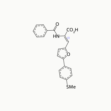 CSc1ccc(-c2ccc(/C=C(\NC(=O)c3ccccc3)C(=O)O)o2)cc1